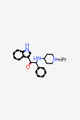 CCCN1CCC(NC(C(=O)c2c[nH]c3ccccc23)c2ccccc2)CC1